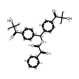 CC(C)(O)C(=O)c1ccc(C(OC(=O)C(=O)c2ccccc2)c2ccc(C(=O)C(C)(C)O)cc2)cc1